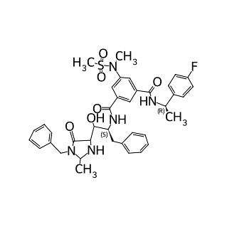 CC1NC(C(O)[C@H](Cc2ccccc2)NC(=O)c2cc(C(=O)N[C@H](C)c3ccc(F)cc3)cc(N(C)S(C)(=O)=O)c2)C(=O)N1Cc1ccccc1